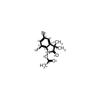 CC(=O)ON1C(=O)C(C)(C)c2cc(Br)cc(F)c21